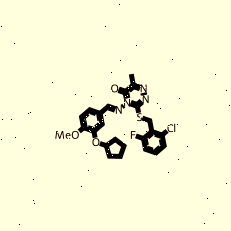 COc1ccc(C=Nn2c(SCc3c(F)cccc3Cl)nnc(C)c2=O)cc1OC1CCCC1